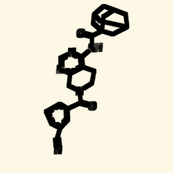 N#Cc1cccc(C(=O)N2CCc3c(ncnc3NC(=O)C34CC5CC(CC(C5)C3)C4)C2)c1